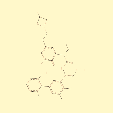 Cc1cc(-c2c(C)cccc2C)cc([C@H](CC(=O)O)NC(=O)[C@H](CC(C)C)n2cc(CCN3CC(F)C3)cc(F)c2=O)c1F